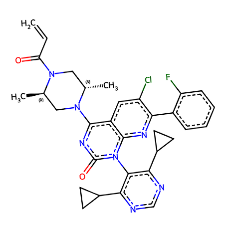 C=CC(=O)N1C[C@H](C)N(c2nc(=O)n(-c3c(C4CC4)ncnc3C3CC3)c3nc(-c4ccccc4F)c(Cl)cc23)C[C@H]1C